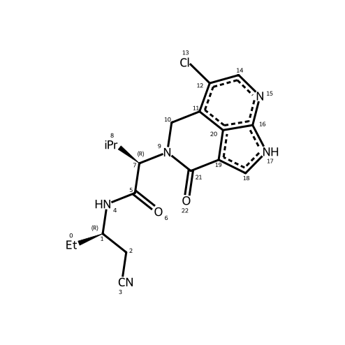 CC[C@H](CC#N)NC(=O)[C@@H](C(C)C)N1Cc2c(Cl)cnc3[nH]cc(c23)C1=O